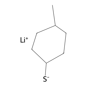 CC1CCC([S-])CC1.[Li+]